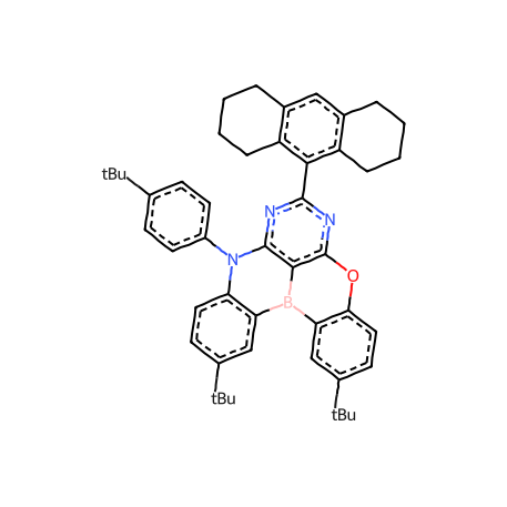 CC(C)(C)c1ccc(N2c3ccc(C(C)(C)C)cc3B3c4cc(C(C)(C)C)ccc4Oc4nc(-c5c6c(cc7c5CCCC7)CCCC6)nc2c43)cc1